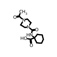 CC(=O)N1CCN(C(=O)NC2(C(=O)O)CCCCC2)CC1